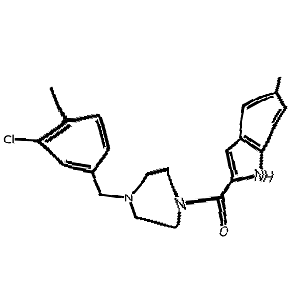 Cc1ccc2[nH]c(C(=O)N3CCN(Cc4ccc(C)c(Cl)c4)CC3)cc2c1